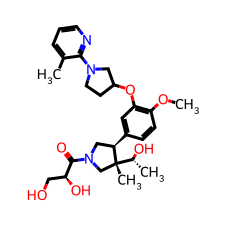 COc1ccc([C@@H]2CN(C(=O)[C@@H](O)CO)C[C@@]2(C)[C@@H](C)O)cc1OC1CCN(c2ncccc2C)C1